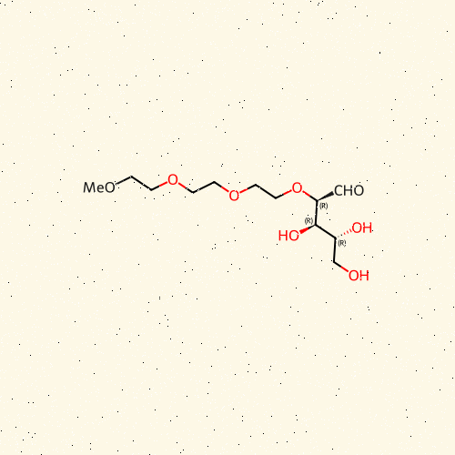 COCCOCCOCCO[C@@H](C=O)[C@H](O)[C@H](O)CO